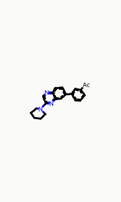 CC(=O)c1cccc(-c2ccc3ncc(N4CCCCC4)nc3c2)c1